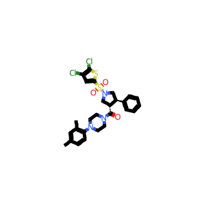 Cc1ccc(N2CCN(C(=O)[C@@H]3CN(S(=O)(=O)c4cc(Cl)c(Cl)s4)C[C@H]3c3ccccc3)CC2)c(C)c1